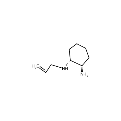 C=CCN[C@@H]1CCCC[C@H]1N